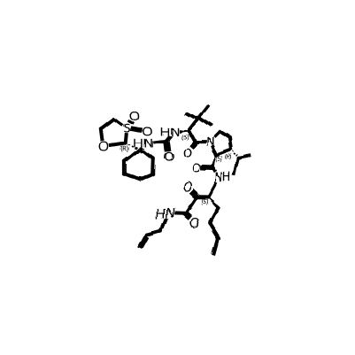 C=CCNC(=O)C(=O)[C@H](CCCC)NC(=O)[C@@H]1[C@@H](C(C)C)CCN1C(=O)[C@@H](NC(=O)NC1([C@@H]2OCCS2(=O)=O)CCCCC1)C(C)(C)C